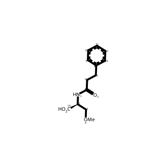 COC[C@H](NC(=O)CCc1ccccc1)C(=O)O